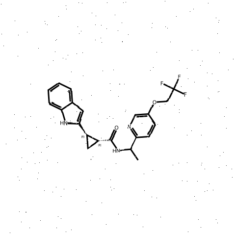 CC(NC(=O)[C@@H]1C[C@H]1c1cc2ccccc2[nH]1)c1ccc(OCC(F)(F)F)cn1